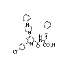 O=C(NC(CSCc1ccccc1)C(=O)O)c1cc(N2CCN(c3ccccc3)CC2)nc(-c2ccc(Cl)cc2)n1